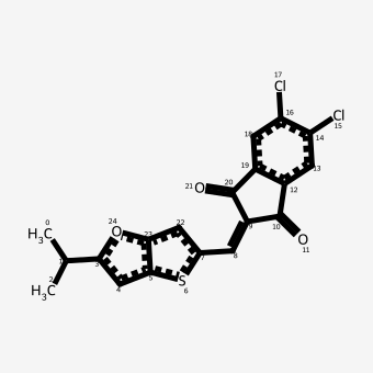 CC(C)c1cc2sc(C=C3C(=O)c4cc(Cl)c(Cl)cc4C3=O)cc2o1